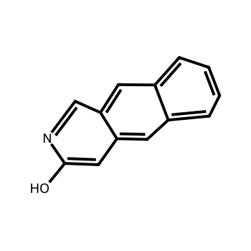 Oc1cc2cc3ccccc3cc2cn1